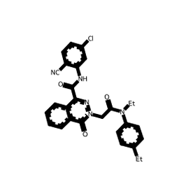 CCc1ccc(N(CC)C(=O)Cn2nc(C(=O)Nc3cc(Cl)ccc3C#N)c3ccccc3c2=O)cc1